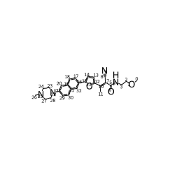 COCCNC(=O)/C(C#N)=C(\C)c1ccc(-c2ccc3cc(N4CCN(C)CC4)ccc3c2)o1